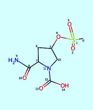 CS(=O)(=O)OC1CC(C(N)=O)N(C(=O)O)C1